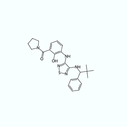 CC(C)(C)C(Nc1nsnc1Nc1cccc(C(=O)N2CCCC2)c1O)c1ccccc1